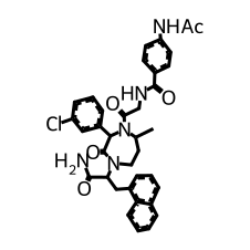 CC(=O)Nc1ccc(C(=O)NCC(=O)N2C(C)CCN(C(Cc3cccc4ccccc34)C(N)=O)C(=O)C2c2cccc(Cl)c2)cc1